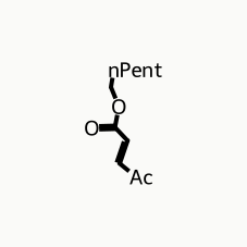 CCCCCCOC(=O)/C=C/C(C)=O